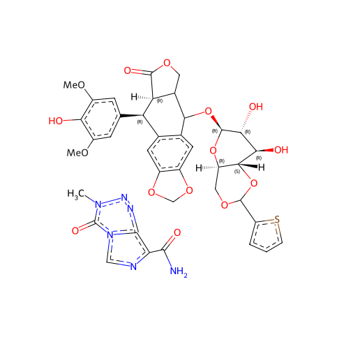 COc1cc([C@@H]2c3cc4c(cc3C(O[C@@H]3O[C@@H]5COC(c6cccs6)O[C@H]5[C@H](O)[C@H]3O)C3COC(=O)[C@@H]32)OCO4)cc(OC)c1O.Cn1nnc2c(C(N)=O)ncn2c1=O